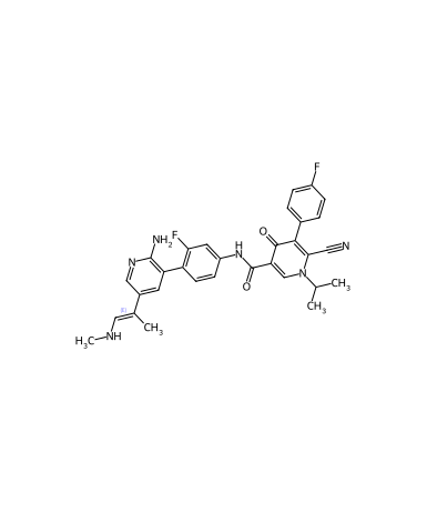 CN/C=C(\C)c1cnc(N)c(-c2ccc(NC(=O)c3cn(C(C)C)c(C#N)c(-c4ccc(F)cc4)c3=O)cc2F)c1